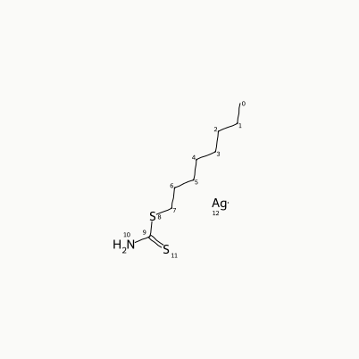 CCCCCCCCSC(N)=S.[Ag]